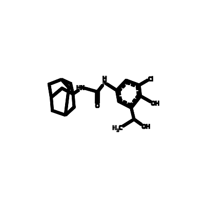 CC(O)c1cc(NC(=O)NC23CC4CC(CC(C4)C2)C3)cc(Cl)c1O